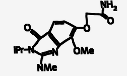 CNc1nc2c(OC)c(OCC(N)=O)ccc2c(=O)n1C(C)C